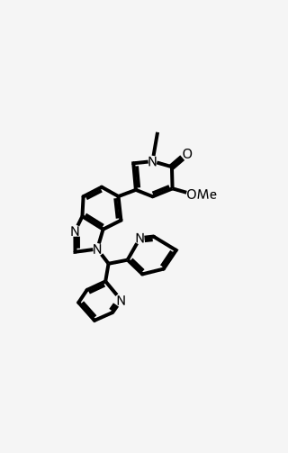 COc1cc(-c2ccc3ncn(C(c4ccccn4)c4ccccn4)c3c2)cn(C)c1=O